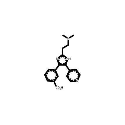 CN(C)CCc1nc(-c2cccc(C(=O)O)c2)c(-c2ccncc2)[nH]1